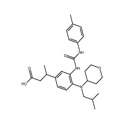 Cc1ccc(NC(=O)Nc2cc(C(C)CC(=O)O)ccc2N(CC(C)C)C2CCOCC2)cc1